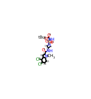 Cn1c(C(=O)NC2CN(S(=O)(=O)NC(=O)OC(C)(C)C)C2)cc2c(Cl)c(Cl)ccc21